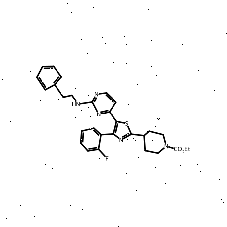 CCOC(=O)N1CCC(c2nc(-c3ccccc3F)c(-c3ccnc(NCCc4ccccc4)n3)s2)CC1